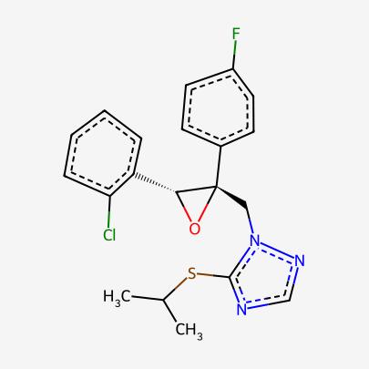 CC(C)Sc1ncnn1C[C@@]1(c2ccc(F)cc2)O[C@@H]1c1ccccc1Cl